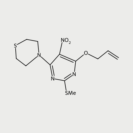 C=CCOc1nc(SC)nc(N2CCSCC2)c1[N+](=O)[O-]